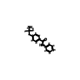 CC(C)(N)Cc1ccc(C(=O)Nc2ccncc2)cc1